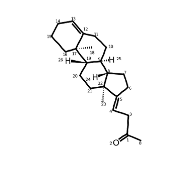 CC(=O)CC=C1CC[C@H]2[C@@H]3CCC4=CCCC[C@]4(C)[C@H]3CC[C@]12C